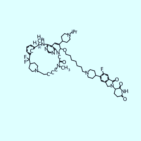 CC(C)N1CCC(C2=Cc3c4ncnc3N(CC(=O)N(C)CCCCN3CCC(CC3)C(F)(F)c3cccc(c3)[C@@H](C)N4)C2OCCCCCCCN2CCC(c3cc4c(cc3F)C(=O)N(C3CCC(=O)NC3=O)C4)CC2)CC1